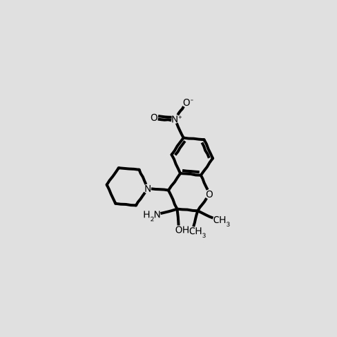 CC1(C)Oc2ccc([N+](=O)[O-])cc2C(N2CCCCC2)C1(N)O